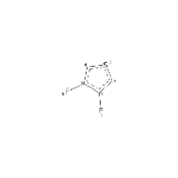 Fc1[c]s[c]c1F